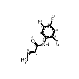 O=C(/C=N/O)Nc1cc(F)c(F)cc1F